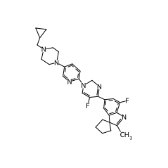 CC1=Nc2c(F)cc(C3=NCN(c4ccc(N5CCN(CC6CC6)CC5)cn4)C=C3F)cc2C12CCCC2